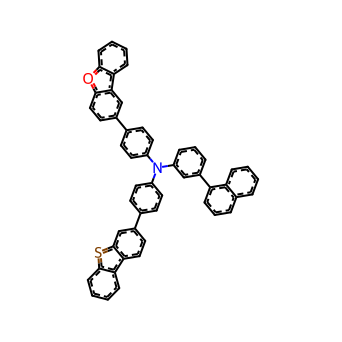 c1cc(-c2cccc3ccccc23)cc(N(c2ccc(-c3ccc4c(c3)sc3ccccc34)cc2)c2ccc(-c3ccc4oc5ccccc5c4c3)cc2)c1